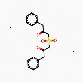 O=C(Cc1ccccc1)CS(=O)(=O)CC(=O)Cc1ccccc1